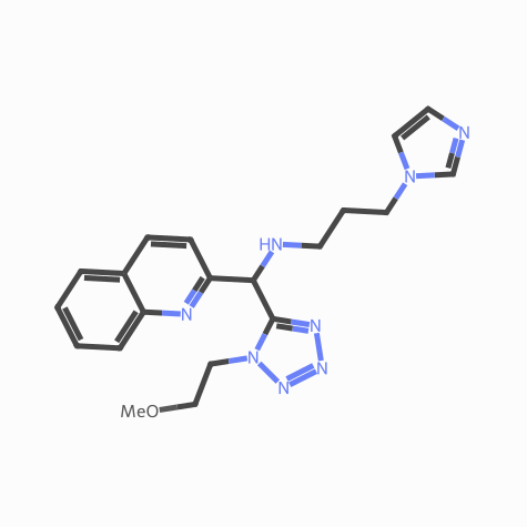 COCCn1nnnc1C(NCCCn1ccnc1)c1ccc2ccccc2n1